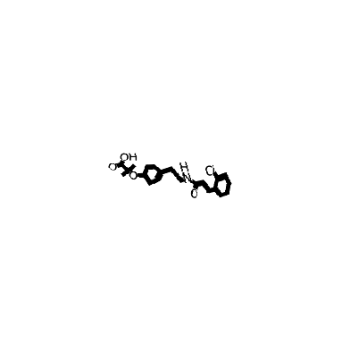 CC(C)(Oc1ccc(CCNC(=O)/C=C/c2ccccc2Cl)cc1)C(=O)O